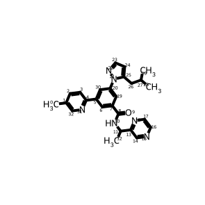 Cc1ccc(-c2cc(C(=O)NC(C)c3cnccn3)cc(-n3nccc3CC(C)C)c2)nc1